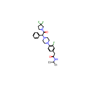 CCC(CC)NC(=O)Cc1ccc(N2CCN(C(C(=O)N3CCC(F)(F)C3)c3ccccc3)CC2)c(F)c1